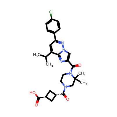 CC(C)c1cc(-c2ccc(Cl)cc2)nn2cc(C(=O)N3CCN(C(=O)[C@H]4C[C@H](C(=O)O)C4)CC3(C)C)nc12